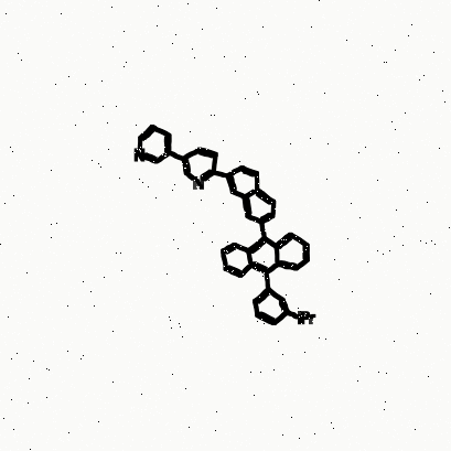 CC(C)c1cccc(-c2c3ccccc3c(-c3ccc4ccc(-c5ccc(-c6cccnc6)cn5)cc4c3)c3ccccc23)c1